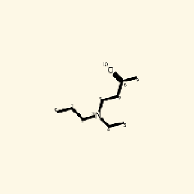 CCCN(CC)CCC(C)=O